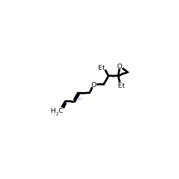 C=C/C=C/COCC(CC)C1(CC)CO1